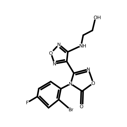 O=c1onc(-c2nonc2NCCO)n1-c1ccc(F)cc1Br